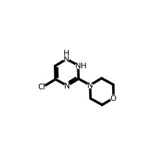 ClC1=CNNC(N2CCOCC2)=N1